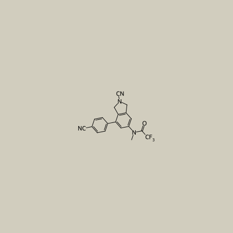 CN(C(=O)C(F)(F)F)c1cc2c(c(-c3ccc(C#N)cc3)c1)CN(C#N)C2